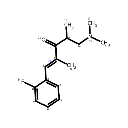 C/C(=C\c1ccccc1F)C(=O)C(C)CN(C)C